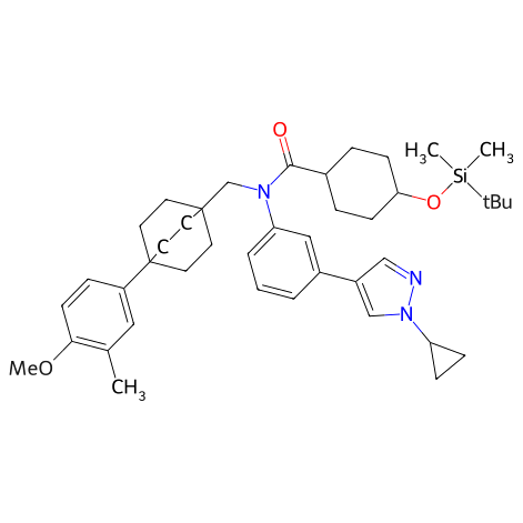 COc1ccc(C23CCC(CN(C(=O)C4CCC(O[Si](C)(C)C(C)(C)C)CC4)c4cccc(-c5cnn(C6CC6)c5)c4)(CC2)CC3)cc1C